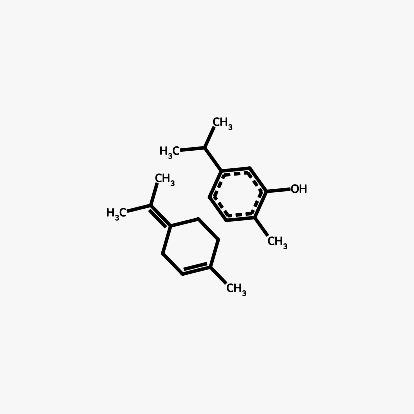 CC1=CCC(=C(C)C)CC1.Cc1ccc(C(C)C)cc1O